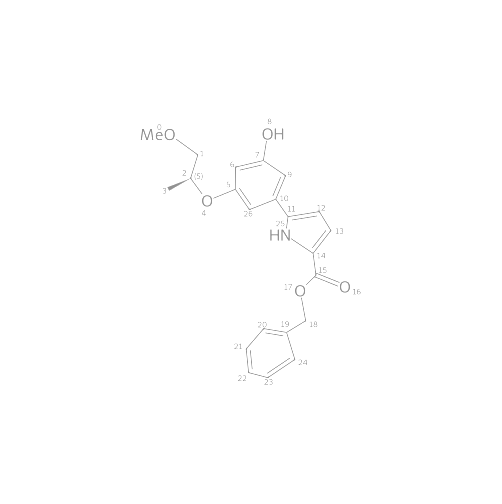 COC[C@H](C)Oc1cc(O)cc(-c2ccc(C(=O)OCc3ccccc3)[nH]2)c1